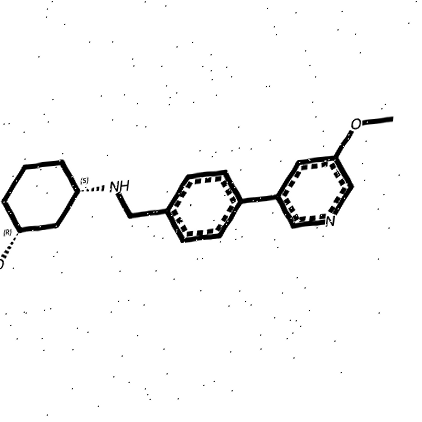 COc1cncc(-c2ccc(CN[C@H]3CCC[C@@H](O)C3)cc2)c1